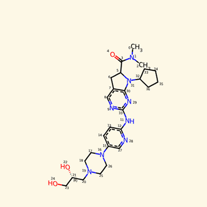 CN(C)C(=O)C1Cc2cnc(Nc3ccc(N4CCN(C[C@@H](O)CO)CC4)cn3)nc2N1C1CCCC1